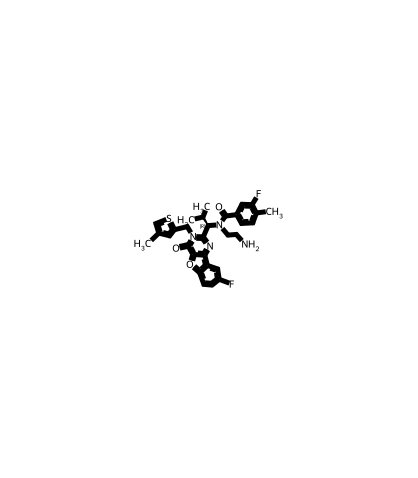 Cc1csc(Cn2c([C@@H](C(C)C)N(CCN)C(=O)c3ccc(C)c(F)c3)nc3c(oc4ccc(F)cc43)c2=O)c1